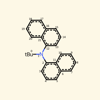 CC(C)(C)N(c1cccc2ccccc12)c1cccc2ccccc12